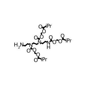 CC(C)C(=O)OCOC(=O)NCCN(CCN(CCN)C(=O)OCOC(=O)C(C)C)C(=O)OCOC(=O)C(C)C